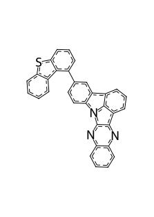 c1ccc2nc3c(nc2c1)c1cccc2c4cc(-c5cccc6sc7ccccc7c56)ccc4n3c21